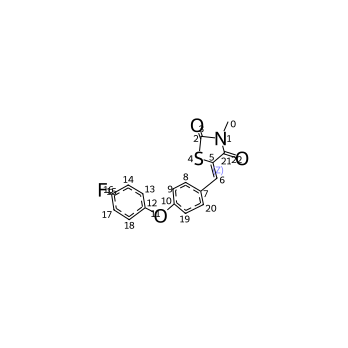 CN1C(=O)S/C(=C\c2ccc(Oc3ccc(F)cc3)cc2)C1=O